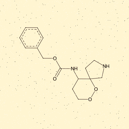 O=C(NC1CCOOC12CCNC2)OCc1ccccc1